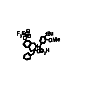 COc1cc(C(=O)N2Cc3cc(OS(=O)(=O)C(F)(F)F)ccc3CC2(Cc2ccccc2)C(=O)O)ccc1C(C)(C)C